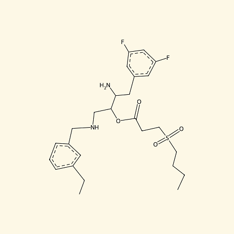 CCCCS(=O)(=O)CCC(=O)OC(CNCc1cccc(CC)c1)C(N)Cc1cc(F)cc(F)c1